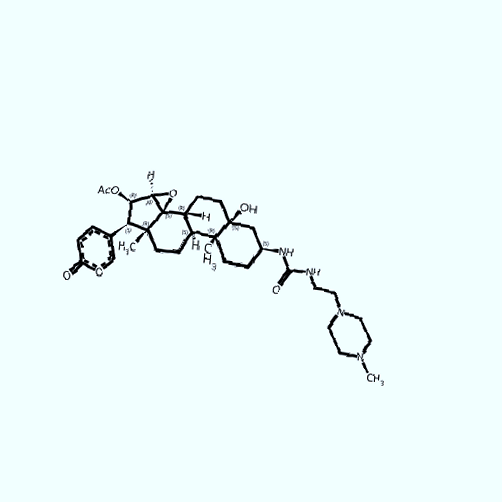 CC(=O)O[C@H]1[C@H]2O[C@]23[C@@H]2CC[C@]4(O)C[C@@H](NC(=O)NCCN5CCN(C)CC5)CC[C@]4(C)[C@H]2CC[C@]3(C)[C@H]1c1ccc(=O)oc1